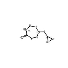 O=C1CCN(CC2CO2)CCN1